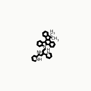 CC1(C)c2ccccc2-c2c1c1ccccc1c1c2c2ccccc2n1/C=C/C(=C\C(=N)C1=CC=CCN1)C1C=CC=CN1